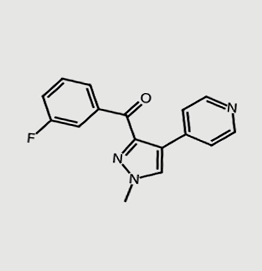 Cn1cc(-c2ccncc2)c(C(=O)c2cccc(F)c2)n1